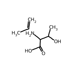 C=CC.CC(O)C(N)C(=O)O